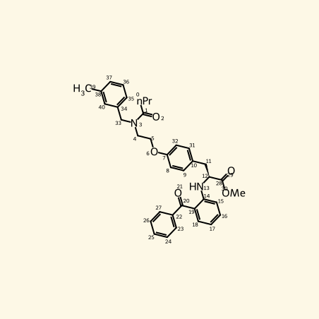 CCCC(=O)N(CCOc1ccc(C[C@H](Nc2ccccc2C(=O)c2ccccc2)C(=O)OC)cc1)Cc1cccc(C)c1